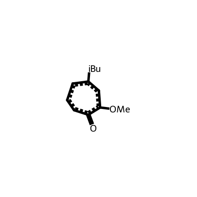 CCC(C)c1cccc(=O)c(OC)c1